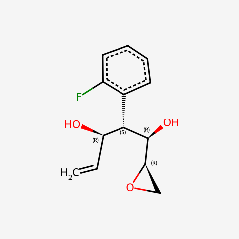 C=C[C@@H](O)[C@H](c1ccccc1F)[C@@H](O)[C@H]1CO1